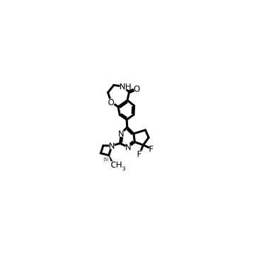 C[C@H]1CCN1c1nc(-c2ccc3c(c2)OCCNC3=O)c2c(n1)C(F)(F)CC2